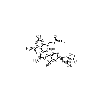 CC(=O)OC[C@H]1O[C@H](Oc2c(F)cc(B3OC(C)(C)C(C)(C)O3)cc2C(F)(F)F)[C@@H](OC(C)=O)[C@@H](OC(C)=O)[C@@H]1OC(C)=O